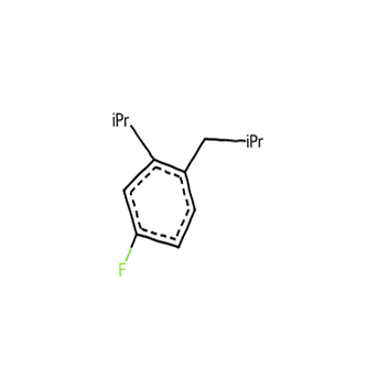 CC(C)Cc1ccc(F)cc1C(C)C